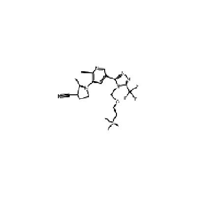 Cc1ncc(-c2nnc(C(F)(F)F)n2COCC[Si](C)(C)C)cc1N1CCC(C#N)C1C